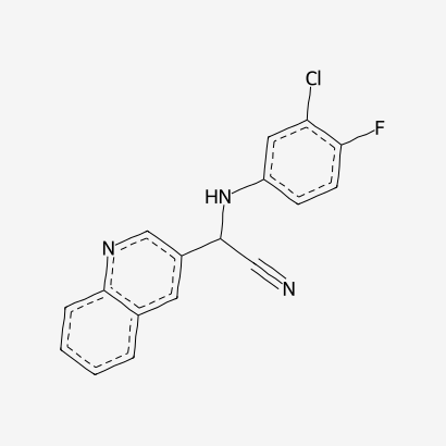 N#CC(Nc1ccc(F)c(Cl)c1)c1cnc2ccccc2c1